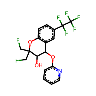 OC1C(Oc2ccccn2)c2cc(C(F)(F)C(F)(F)F)ccc2OC1(CF)CF